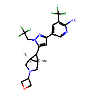 Nc1ncc(-c2cc(C3[C@H]4CN(C5COC5)C[C@@H]34)n(CC(F)(F)F)n2)cc1C(F)(F)F